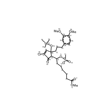 COC(=O)CCCCCC(OS(C)(=O)=O)C1C(=O)C(Cl)=CC1(CCCc1ccc(OC)c(OC)c1)O[Si](C)(C)C